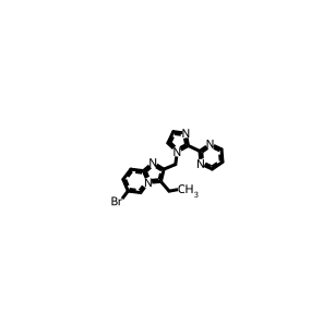 CCc1c(Cn2ccnc2-c2ncccn2)nc2ccc(Br)cn12